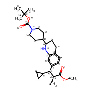 COC(=O)[C@@H](C)[C@H](c1ccc2c(c1)NC(C1CCN(C(=O)OC(C)(C)C)CC1)CC2)C1CC1